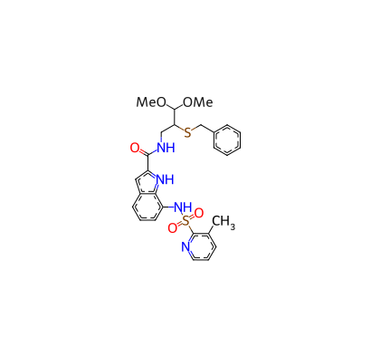 COC(OC)C(CNC(=O)c1cc2cccc(NS(=O)(=O)c3ncccc3C)c2[nH]1)SCc1ccccc1